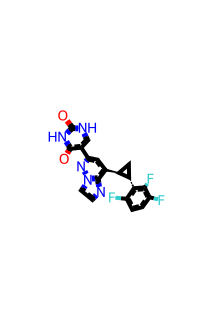 O=c1[nH]cc(-c2cc([C@H]3C[C@@H]3c3c(F)ccc(F)c3F)c3nccn3n2)c(=O)[nH]1